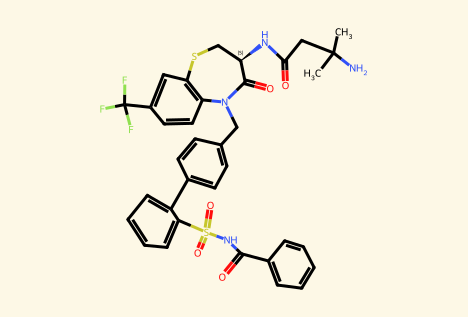 CC(C)(N)CC(=O)N[C@@H]1CSc2cc(C(F)(F)F)ccc2N(Cc2ccc(-c3ccccc3S(=O)(=O)NC(=O)c3ccccc3)cc2)C1=O